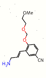 COCCOCOc1ccc(C#N)cc1C=CCN